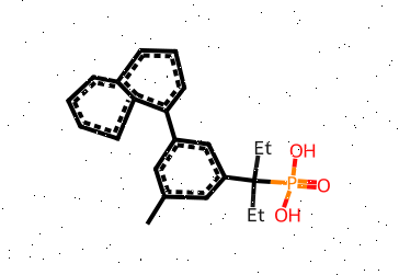 CCC(CC)(c1cc(C)cc(-c2cccc3ccccc23)c1)P(=O)(O)O